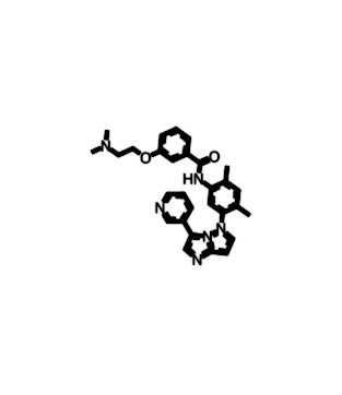 Cc1cc(C)c(-n2ccc3ncc(-c4cccnc4)n32)cc1NC(=O)c1cccc(OCCN(C)C)c1